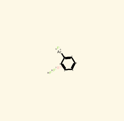 CC(=O)c1ccccc1.[B+3].[F-].[F-].[F-]